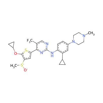 CN1CCN(c2ccc(Nc3ncc(C(F)(F)F)c(-c4cc([S+](C)[O-])c(OC5CC5)s4)n3)c(C3CC3)c2)CC1